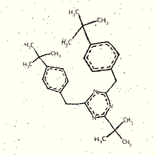 CC(C)(C)c1ccc(Cc2nc(Cc3ccc(C(C)(C)C)cc3)nc(C(C)(C)C)n2)cc1